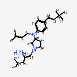 CC(C)=CCN(c1ccc(CCC(C)(C)C)cc1)C1CCN(CC(N)CC(C)C)C1